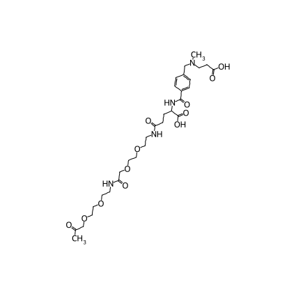 CC(=O)COCCOCCNC(=O)COCCOCCNC(=O)CCC(NC(=O)c1ccc(CN(C)CCC(=O)O)cc1)C(=O)O